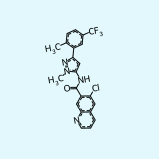 Cc1ccc(C(F)(F)F)cc1-c1cc(NC(=O)c2cc3ncccc3cc2Cl)n(C)n1